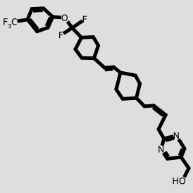 OCc1cnc(C/C=C\CC2CCC(/C=C/C3CCC(C(F)(F)Oc4ccc(C(F)(F)F)cc4)CC3)CC2)nc1